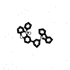 O=P1(c2ccccc2)c2ccccc2Oc2ccc(-c3cccc(-n4c5ccccc5c5ccccc54)c3)cc21